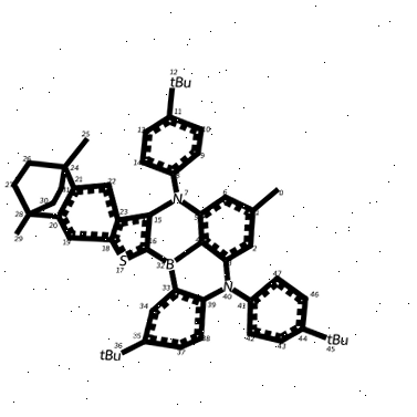 Cc1cc2c3c(c1)N(c1ccc(C(C)(C)C)cc1)c1c(sc4cc5c(cc14)C1(C)CCC5(C)CC1)B3c1cc(C(C)(C)C)ccc1N2c1ccc(C(C)(C)C)cc1